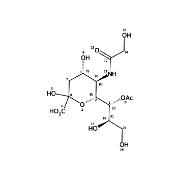 CC(=O)O[C@@H]([C@@H]1OC(O)(C(=O)O)C[C@H](O)[C@H]1NC(=O)CO)[C@H](O)CO